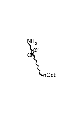 CCCCCCCC/C=C\CCCCCCCC(=O)[NH+]([O-])CCCN